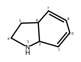 [C]1=CC2NCCC2C=C1